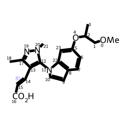 COCC(C)Oc1ccc2ccn(-c3c(/C=C/C(=O)O)c(C)nn3C)c2c1